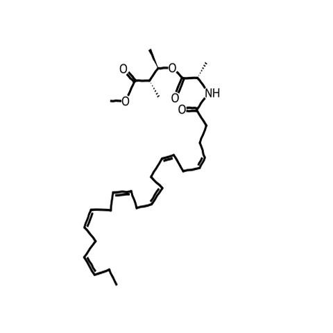 CC/C=C\C/C=C\C/C=C\C/C=C\C/C=C\C/C=C\CCC(=O)N[C@@H](C)C(=O)O[C@H](C)[C@H](C)C(=O)OC